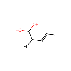 CC=CC(CC)C(O)O